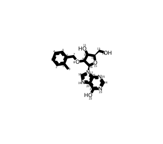 Cc1ccccc1COC1C(O)[C@@H](CO)O[C@H]1n1cnc2c(O)ncnc21